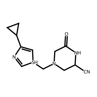 N#CC1CN(C[SH]2C=NC(C3CC3)=C2)CC(=O)N1